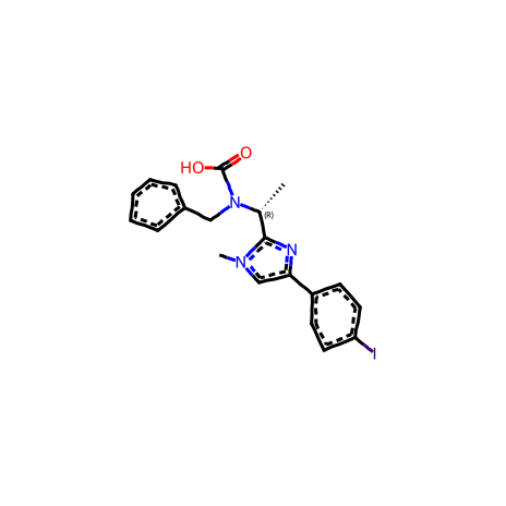 C[C@H](c1nc(-c2ccc(I)cc2)cn1C)N(Cc1ccccc1)C(=O)O